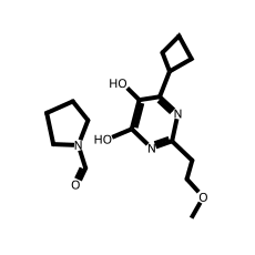 COCCc1nc(O)c(O)c(C2CCC2)n1.O=CN1CCCC1